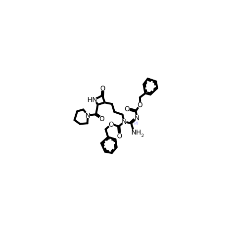 N/C(=N/C(=O)OCc1ccccc1)N(CCCC1C(=O)NC1C(=O)N1CCCCC1)C(=O)OCc1ccccc1